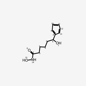 O=C(CCCCC(O)c1ccccc1)NO